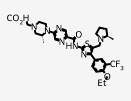 CCOc1ccc(-c2nc(NC(=O)c3cnc(N4CCN(CC(=O)O)C[C@H]4C)cn3)sc2CN2CCC[C@H]2C)cc1C(F)(F)F